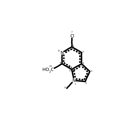 Cn1ccc2cc(Cl)nc(C(=O)O)c21